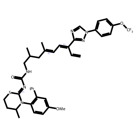 C=C/C(=C\C=C(/C)CC(C)CNC(=O)/N=C1\SCCC(C)N1c1ccc(OC)cc1C(C)C)c1ncn(-c2ccc(OC(F)(F)F)cc2)n1